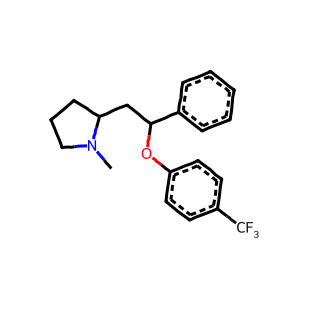 CN1CCCC1CC(Oc1ccc(C(F)(F)F)cc1)c1ccccc1